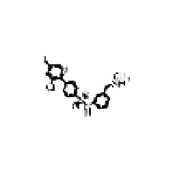 CNCc1cccc(NS(=O)(=O)c2ccc(-c3ncc(I)cc3Cl)cc2)c1